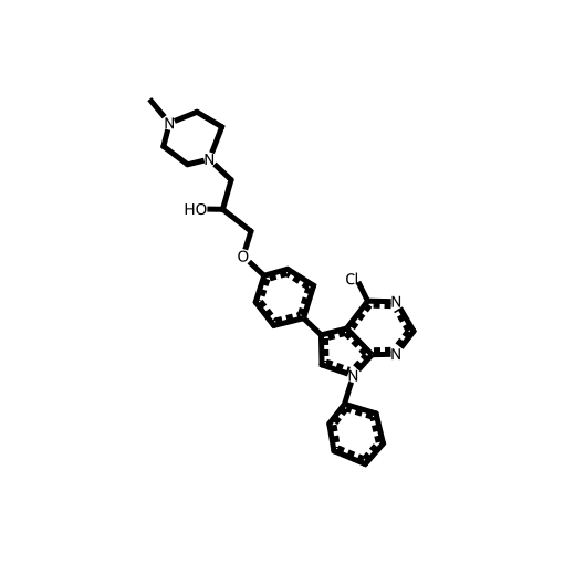 CN1CCN(CC(O)COc2ccc(-c3cn(-c4ccccc4)c4ncnc(Cl)c34)cc2)CC1